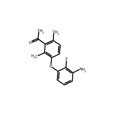 CC(=O)c1c(C)ccc(Oc2cccc(N)c2F)c1C